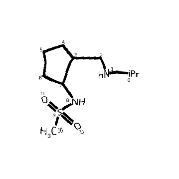 CC(C)NCC1CCCC1NS(C)(=O)=O